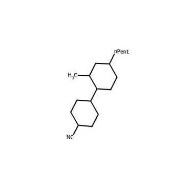 CCCCCC1CCC(C2CCC(C#N)CC2)C(C)C1